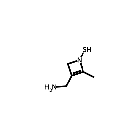 CC1=C(CN)CN1S